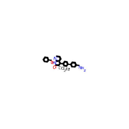 CCOC(=O)c1c(-c2ccc(-c3ccc(CN)cc3)cc2)c2cccnc2n(OCc2ccccc2)c1=O